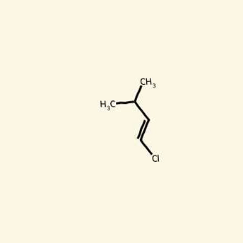 CC(C)C=CCl